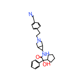 N#Cc1ccc(CCN2CC3C(C2)C3NC(=O)C(O)(c2ccccc2)C2CCCC2)cc1